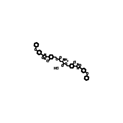 Cl.N[C@@H](CC(=O)OCc1ccc(-c2noc(-c3ccc(Oc4ccccc4)cc3)n2)c(Cl)c1)C(=O)OCc1ccc(-c2noc(-c3ccc(Oc4ccccc4)cc3)n2)c(Cl)c1